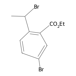 CCOC(=O)c1cc(Br)ccc1C(C)Br